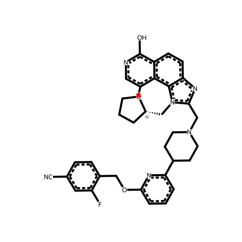 N#Cc1ccc(COc2cccc(C3CCN(Cc4nc5ccc6c(O)ncc(F)c6c5n4C[C@@H]4CCCO4)CC3)n2)c(F)c1